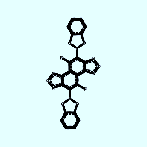 Fc1c(B2Oc3ccccc3O2)c2nonc2c2c(F)c(B3Oc4ccccc4O3)c3nonc3c12